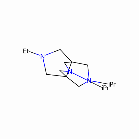 CCN1CC23CN(C(C)C)CC2(C1)CN(C(C)C)C3